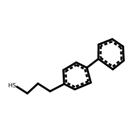 SCCCc1ccc(-c2ccccc2)cc1